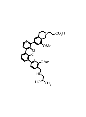 COc1cc(-c2nccc(-c3cccc(-c4ccc(CNC[C@@H](C)O)c(OC)n4)c3Cl)c2Cl)cc2c1CN(CCC(=O)O)CC2